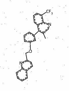 Cc1cnc2c(C(F)(F)F)cccc2c1-c1cccc(OCc2ccc3ccccc3n2)c1